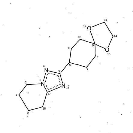 C1CCn2nc(C3CCC4(CC3)OCCO4)nc2C1